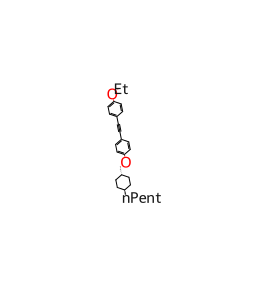 CCCCC[C@H]1CC[C@H](COc2ccc(C#Cc3ccc(OCC)cc3)cc2)CC1